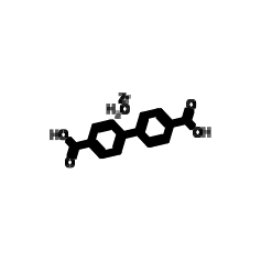 O.O=C(O)c1ccc(-c2ccc(C(=O)O)cc2)cc1.[Zr]